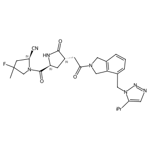 CC(C)c1cnnn1Cc1cccc2c1CN(C(=O)C[C@@H]1C[C@@H](C(=O)N3CC(C)(F)C[C@H]3C#N)NC1=O)C2